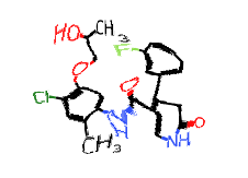 Cc1cc(Cl)c(OCC(C)O)cc1NC(=O)C1=CNC(=O)CC1c1cccc(F)c1